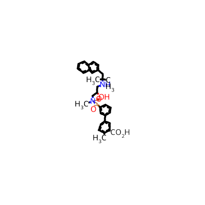 Cc1ccc(-c2cccc(S(=O)(=O)N(C)CC(O)CNC(C)(C)Cc3ccc4ccccc4c3)c2)cc1C(=O)O